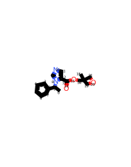 CC(c1ccccc1)n1cncc1C(=O)OCC1(C)COC1